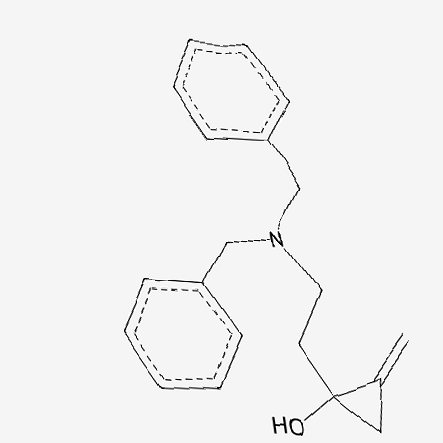 C=C1CC1(O)CCN(Cc1ccccc1)Cc1ccccc1